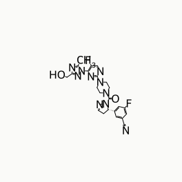 Cc1nc(CO)nn1-c1nc(N2CCN(C(=O)N3N=CC[C@H]3c3cc(F)cc(C#N)c3)CC2)ncc1F